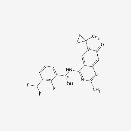 Cc1nc(N[C@H](O)c2cccc(C(F)F)c2F)c2cn(C3(C)CC3)c(=O)cc2n1